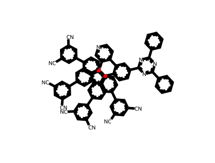 N#Cc1cc(C#N)cc(-c2ccc3c(c2)c2cc(-c4cc(C#N)cc(C#N)c4)ccc2n3-c2ccc(-c3nc(-c4ccccc4)nc(-c4ccccc4)n3)cc2-c2ccncc2-n2c3ccc(-c4cc(C#N)cc(C#N)c4)cc3c3cc(-c4cc(C#N)cc(C#N)c4)ccc32)c1